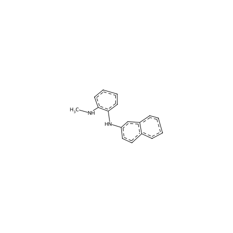 CNc1ccccc1Nc1ccc2ccccc2c1